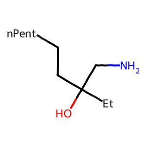 CCCCCCCC(O)(CC)CN